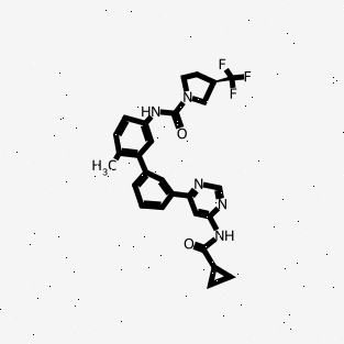 Cc1ccc(NC(=O)N2CC[C@@H](C(F)(F)F)C2)cc1-c1cccc(-c2cc(NC(=O)C3CC3)ncn2)c1